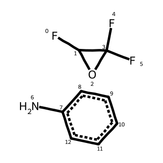 FC1OC1(F)F.Nc1ccccc1